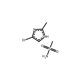 CCc1c[nH]c(C)n1.CS(N)(=O)=O